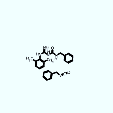 Cc1cccc(C)c1NC(=N)NC(=O)NCc1ccccc1.O=C=NCc1ccccc1